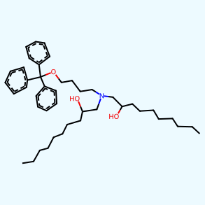 CCCCCCCCC(O)CN(CCCCOC(c1ccccc1)(c1ccccc1)c1ccccc1)CC(O)CCCCCCCC